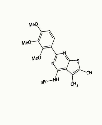 CCCNc1nc(-c2ccc(OC)c(OC)c2OC)nc2sc(C#N)c(C)c12